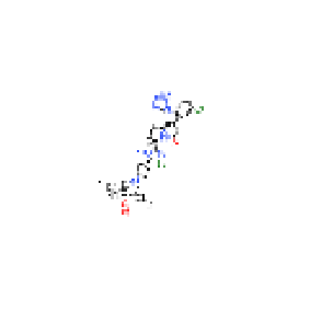 CC(C)(O)CN(C(=O)O)c1ccc(-c2[nH]c([C@@H]3CCc4cc(-c5cc(Cl)ccc5-n5cnnn5)cc(=O)n43)nc2Cl)cc1